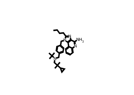 CCCCc1nc2c(N)nc3ccccc3c2n1Cc1ccc(CN(CC(C)(C)C2CC2)C(C)(C)C)cc1